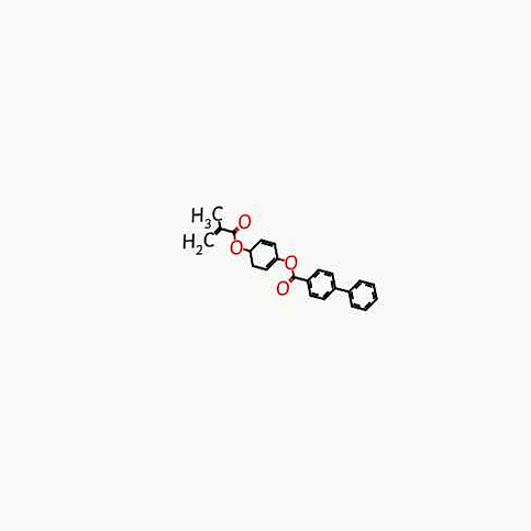 C=C(C)C(=O)OC1C=CC(OC(=O)c2ccc(-c3ccccc3)cc2)=CC1